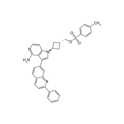 Cc1ccc(S(=O)(=O)OC[C@H]2C[C@H](n3cc(-c4ccc5ccc(-c6ccccc6)nc5c4)c4c(N)nccc43)C2)cc1